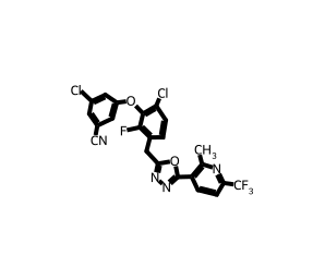 Cc1nc(C(F)(F)F)ccc1-c1nnc(Cc2ccc(Cl)c(Oc3cc(Cl)cc(C#N)c3)c2F)o1